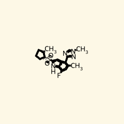 Cc1cc(F)c2[nH]c(S(=O)(=O)[C@@H]3CCC[C@H]3C)cc2c1-c1ncn(C)n1